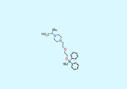 CC(C)(C)C(C(=O)O)N1CCN(CCOCCO[Si](c2ccccc2)(c2ccccc2)C(C)(C)C)CC1